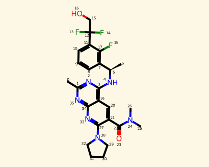 Cc1nc(N[C@H](C)c2cccc(C(F)(F)CO)c2F)c2cc(C(=O)N(C)C)c(N3CCCC3)nc2n1